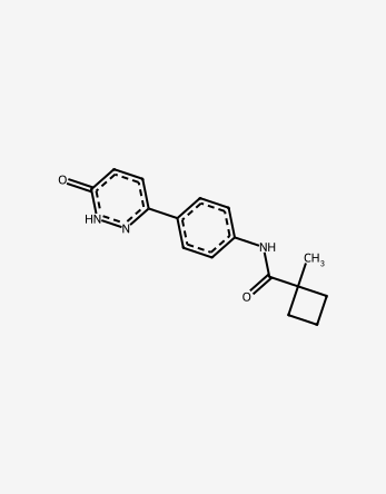 CC1(C(=O)Nc2ccc(-c3ccc(=O)[nH]n3)cc2)CCC1